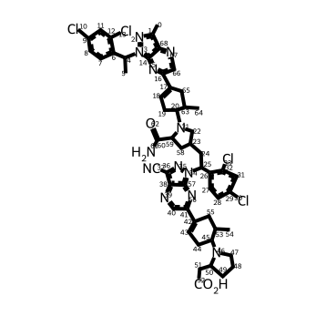 Cc1nn(C(C)c2ccc(Cl)cc2Cl)c2nc(C3=CCC(N4CC(CC(c5ccc(Cl)cc5Cl)n5nc(C#N)c6ncc(C7=CCC(N8CCCC8CC(=O)O)C(C)C7)nc65)CC4C(N)=O)C(C)C3)cnc12